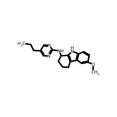 CCCc1cnc(NC2CCCc3c2[nH]c2ccc(OC)cc32)nc1